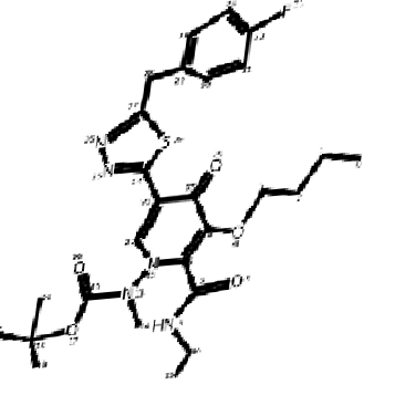 CCCCOc1c(C(=O)NCC)n(N(C)C(=O)OC(C)(C)C)cc(-c2nnc(Cc3ccc(F)cc3)s2)c1=O